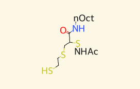 CCCCCCCCNC(=O)C(CSCCS)SNC(C)=O